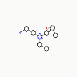 N#Cc1cccc(-c2ccc(-c3nc(-c4cccc(-c5ccccc5)c4)nc(-c4ccc5c(c4)oc4cccc(-c6ccccc6)c45)n3)cc2)c1